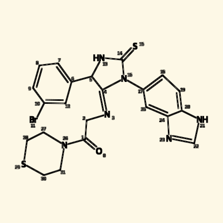 O=C(CN=C1C(c2cccc(Br)c2)NC(=S)N1c1ccc2[nH]cnc2c1)N1CCSCC1